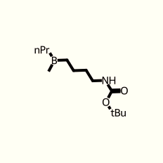 CCCB(C)CCCCNC(=O)OC(C)(C)C